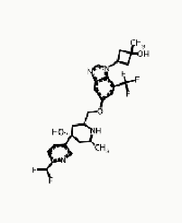 C[C@H]1C[C@@](O)(c2ccc(C(F)F)nc2)C[C@@H](COc2cc(C(F)(F)F)c3c(c2)ncn3C2CC(C)(O)C2)N1